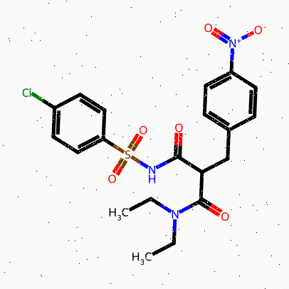 CCN(CC)C(=O)C(Cc1ccc([N+](=O)[O-])cc1)C(=O)NS(=O)(=O)c1ccc(Cl)cc1